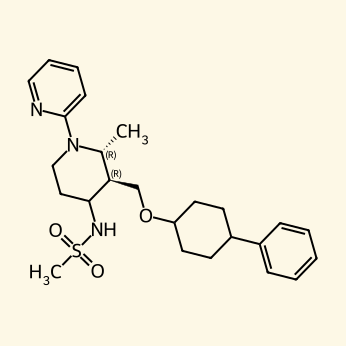 C[C@@H]1[C@@H](COC2CCC(c3ccccc3)CC2)C(NS(C)(=O)=O)CCN1c1ccccn1